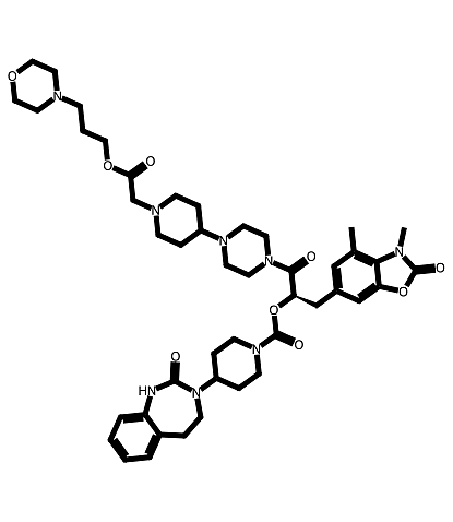 Cc1cc(C[C@@H](OC(=O)N2CCC(N3CCc4ccccc4NC3=O)CC2)C(=O)N2CCN(C3CCN(CC(=O)OCCCN4CCOCC4)CC3)CC2)cc2oc(=O)n(C)c12